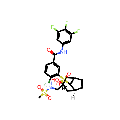 CS(=O)(=O)NC[C@]1(O)CC2CC[C@@H](C1)[C@H]2S(=O)(=O)c1cc(C(=O)Nc2cc(F)c(F)c(F)c2)ccc1Cl